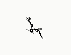 C#CC(O)(C/C=C/[C@@H]1[C@@H](C/C=C\CCCC(=O)OC)[C@@H](O)C[C@H]1O)CCCCCC